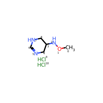 CONC1CN=CNC1.Cl.Cl